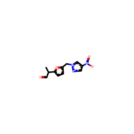 CC(C=O)c1ccc(Cn2cc([N+](=O)[O-])cn2)o1